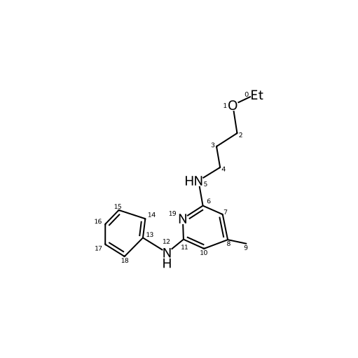 CCOCCCNc1cc(C)cc(Nc2ccccc2)n1